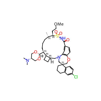 COCC[C@@H]1[C@@H](C)CCC[C@H]([C@H]2OC[C@@H](N(C)C)CO2)[C@@H]2CC[C@H]2CN2C[C@@]3(CCCc4cc(Cl)ccc43)COc3ccc(cc32)C(=O)NS1(=O)=O